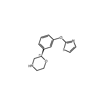 c1cc(Oc2nccs2)cc([C@@H]2CNCCO2)c1